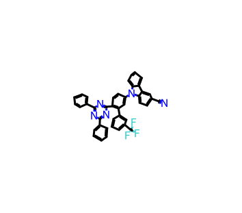 N#Cc1ccc2c(c1)c1ccccc1n2-c1ccc(-c2nc(-c3ccccc3)nc(-c3ccccc3)n2)c(-c2cccc(C(F)(F)F)c2)c1